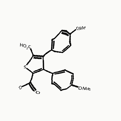 COc1ccc(-c2c(C([O])=O)sc(C(=O)O)c2-c2ccc(OC)cc2)cc1